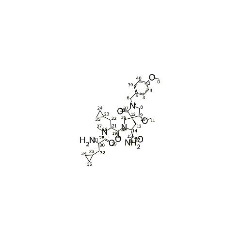 COc1ccc(CN2CC(OC)[C@@]3(C[C@@H](C(N)=O)N(C(=O)C(CC4CC4)N(C)C(=O)C(N)CC4CC4)C3)C2=O)cc1